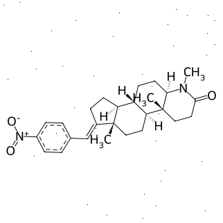 CN1C(=O)CC[C@]2(C)[C@H]3CC[C@]4(C)/C(=C/c5ccc([N+](=O)[O-])cc5)CC[C@H]4[C@@H]3CC[C@@H]12